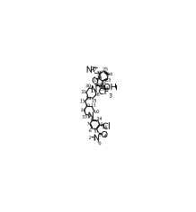 CN(C)C(=O)c1ccc(N2CCC(CC3CCN(C(=O)[C@](O)(c4cccc(C#N)c4)C(F)(F)F)CC3)CC2)cc1Cl